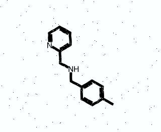 Cc1ccc(CNCc2ccccn2)cc1